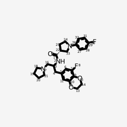 O=C(NC(Cc1cc(F)c2c(c1)OCCO2)CN1CCCC1)[C@@H]1CCN(c2ccc(F)cc2)C1